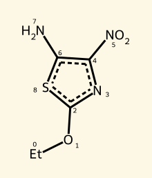 CCOc1nc([N+](=O)[O-])c(N)s1